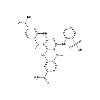 COc1ccc(C(N)=O)cc1Nc1nc(Nc2cc(C(N)=O)ccc2OC)nc(Nc2ccccc2S(=O)(=O)O)n1